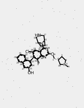 CN1CC[C@@H](COc2nc(N3C4CCC3CNC4)c3cc(Cl)c(-c4cc(O)cc5ccccc45)c(F)c3n2)C1